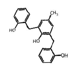 Cc1cc(Cc2ccccc2O)c(O)c(Cc2ccccc2O)c1